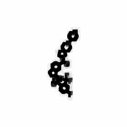 O=C(NC1CCc2ccc(C(=O)N3CCC4(CCN(c5ccncc5)CC4)C3)cc21)c1ccc(F)cc1C(F)(F)F